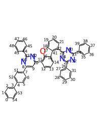 c1ccc(-c2ccc(-c3cc(-c4cccc5c4oc4cccc(-c6nc(-c7ccccc7)nc(-c7ccccc7)n6)c45)nc(-c4ccccc4)n3)cc2)cc1